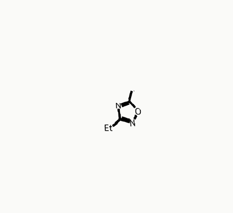 [CH2]c1nc(CC)no1